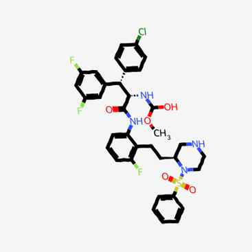 COC(O)N[C@H](C(=O)Nc1cccc(F)c1CC[C@H]1CNCCN1S(=O)(=O)c1ccccc1)[C@@H](c1ccc(Cl)cc1)c1cc(F)cc(F)c1